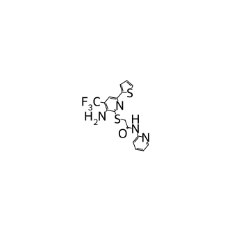 Nc1c(C(F)(F)F)cc(-c2cccs2)nc1SCC(=O)Nc1ccccn1